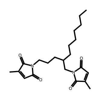 CCCCCCCC(CCCN1C(=O)C=C(C)C1=O)CN1C(=O)C=C(C)C1=O